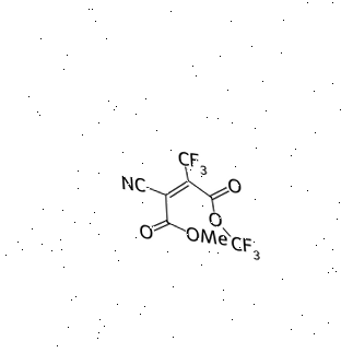 COC(=O)C(C#N)=C(C(=O)OC(F)(F)F)C(F)(F)F